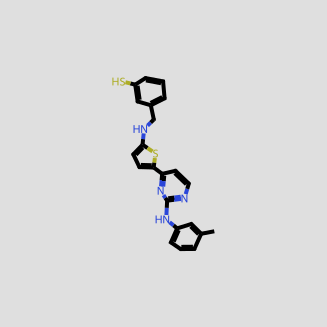 Cc1cccc(Nc2nccc(-c3ccc(NCc4cccc(S)c4)s3)n2)c1